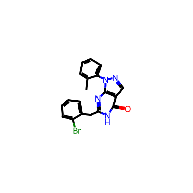 Cc1ccccc1-n1ncc2c(=O)[nH]c(Cc3ccccc3Br)nc21